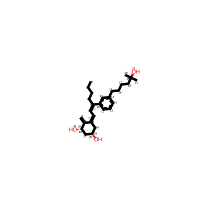 C=C1/C(=C\C=C(\CCCC)c2cccc(CCCCC(C)(C)O)c2)C[C@@H](O)C[C@@H]1O